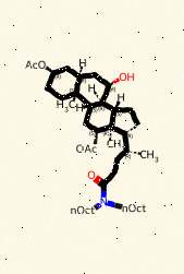 CCCCCCCCN(CCCCCCCC)C(=O)CC[C@@H](C)[C@H]1CC[C@H]2[C@@H]3[C@H](O)C[C@@H]4C[C@H](OC(C)=O)CC[C@]4(C)[C@H]3C[C@H](OC(C)=O)[C@]12C